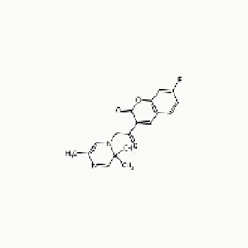 CC1=CN(CC(=O)c2cc3ccc(F)cc3oc2=O)C(C)(C)C=N1